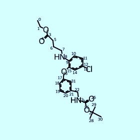 CCOC(=O)CCCNc1ccc(Cl)cc1Oc1cccc(CNC(=O)OC(C)(C)C)c1